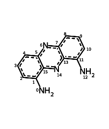 Nc1cccc2nc3cccc(N)c3nc12